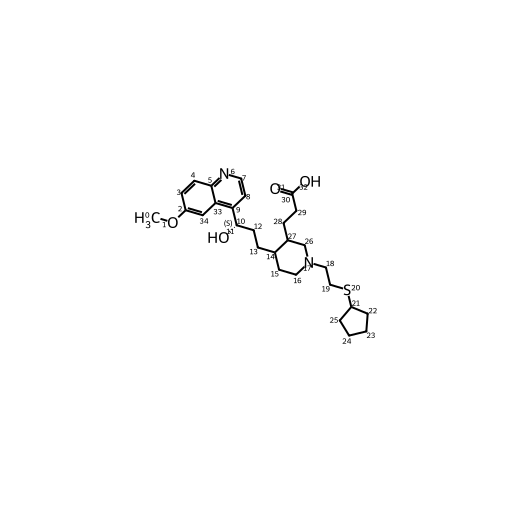 COc1ccc2nccc([C@@H](O)CCC3CCN(CCSC4CCCC4)CC3CCC(=O)O)c2c1